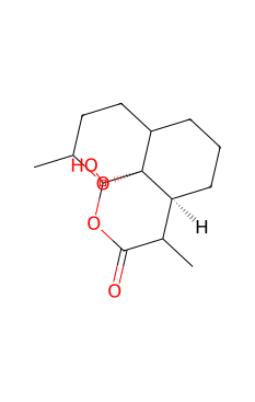 CC1CCC2CCC[C@H]3C(C)C(=O)OC(O)[C@@]23O1